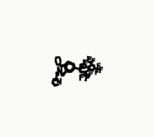 O=C(/C=C(\c1cc(C(F)(F)F)cc(C(F)(F)F)c1)C(F)(F)F)c1ccc2c(c1)CN(Cc1ccccn1)C2=O